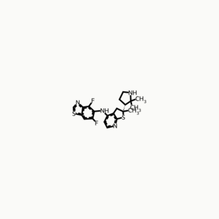 CC1(C)NCC[C@H]1C1(C)Cc2c(Nc3c(F)cc4scnc4c3F)ccnc2S1